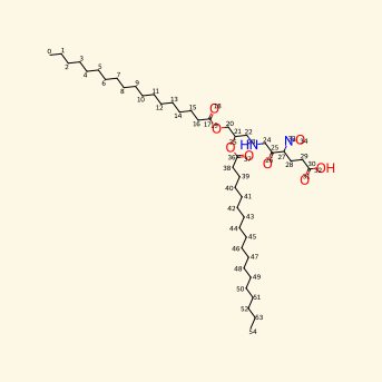 CCCCCCCCCCCCCCCCCC(=O)OCC(CNCC(=O)C(CCC(=O)O)N=O)OC(=O)CCCCCCCCCCCCCCCCC